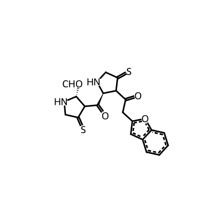 O=C[C@H]1NCC(=S)C1C(=O)[C@H]1NCC(=S)C1C(=O)Cc1cc2ccccc2o1